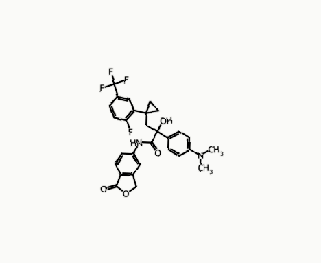 CN(C)c1ccc(C(O)(CC2(c3cc(C(F)(F)F)ccc3F)CC2)C(=O)Nc2ccc3c(c2)COC3=O)cc1